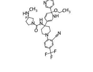 CCOC1(c2cccnc2)C=CC(C2(NC(=O)N3CC[C@@H](NC)C3)CCN(c3ccc(C(F)(F)F)cc3C#N)CC2)=CN1